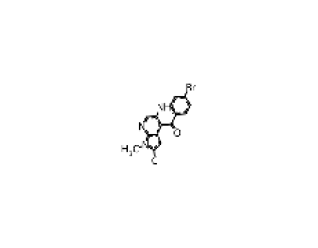 Cn1c(Cl)cc2c(C(=O)c3ccc(Br)cc3)c(N)cnc21